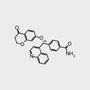 NC(=O)c1ccc([C@@H](Oc2ccc3c(c2)OCCC3=O)c2ccnc3ccccc23)cc1